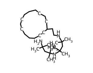 CC(C)(N)CC(C)(C)NC(C)(C)CC(C)(C)NCCC1CCCCCCCCCCCCCC1